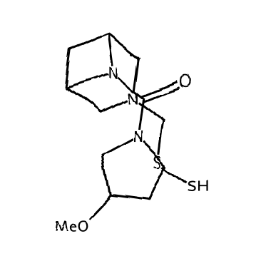 COC1CCN(C(=O)N2C3CC2CN(CSS)C3)C1